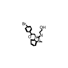 Cn1/c(=N/CCO)n(CC(=O)c2ccc(Br)cc2)c2ccccc21